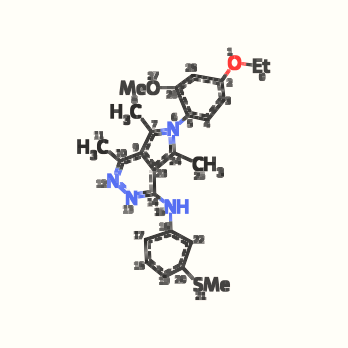 CCOc1ccc(-n2c(C)c3c(C)nnc(Nc4cccc(SC)c4)c3c2C)c(OC)c1